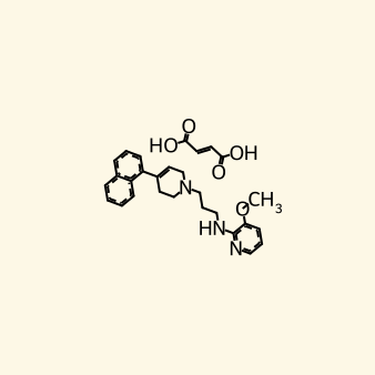 COc1cccnc1NCCCN1CC=C(c2cccc3ccccc23)CC1.O=C(O)C=CC(=O)O